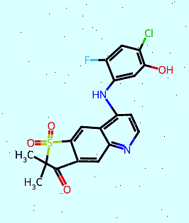 CC1(C)C(=O)c2cc3nccc(Nc4cc(O)c(Cl)cc4F)c3cc2S1(=O)=O